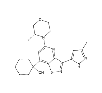 Cc1cc(-c2nsc3c(C4(O)CCCCC4)cc(N4CCOC[C@H]4C)nc23)[nH]n1